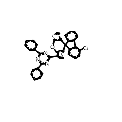 Clc1cccc2c1-c1ccccc1C21c2ccccc2Oc2c(-c3nc(-c4ccccc4)nc(-c4ccccc4)n3)cccc21